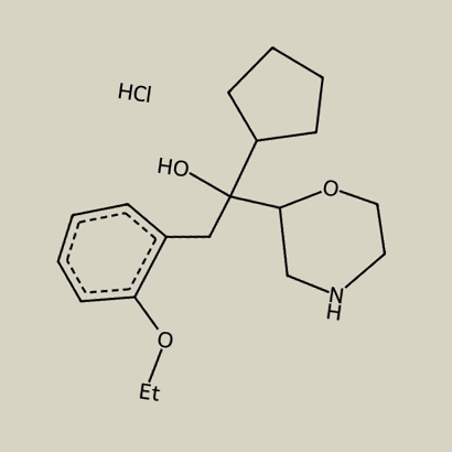 CCOc1ccccc1CC(O)(C1CCCC1)C1CNCCO1.Cl